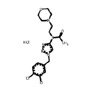 CC(=O)N(CCN1CCOCC1)c1cn(Cc2ccc(Cl)c(Cl)c2)nn1.Cl